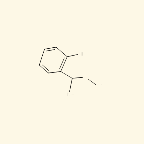 CCCOC(N)c1ccc[c]c1N